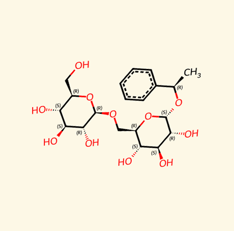 C[C@@H](O[C@H]1O[C@H](CO[C@@H]2O[C@H](CO)[C@@H](O)[C@H](O)[C@H]2O)[C@@H](O)[C@H](O)[C@H]1O)c1ccccc1